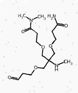 CNC(COCCC=O)(COCCC(N)=O)COCCC(=O)N(C)C